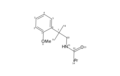 COc1ccccc1C(C)(C)CNC(=O)C(C)C